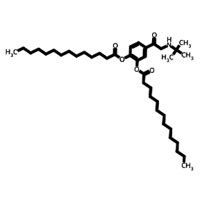 CCCCCCCCCCCCCC(=O)Oc1ccc(C(=O)CNC(C)(C)C)cc1OC(=O)CCCCCCCCCCCCC